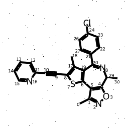 Cc1noc2c1-c1sc(C#Cc3ccccn3)c(C)c1C(c1ccc(Cl)cc1)=N[C@H]2C